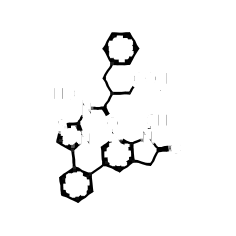 CN(C(=O)C(CC(=O)O)Cc1ccccc1)c1nc(-c2ccccc2-c2cnc3c(c2)CC(=O)N3C)cs1